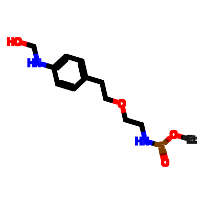 CCOS(=O)NCCOCCc1ccc(NCO)cc1